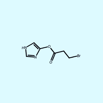 O=C(CCBr)Oc1c[nH]cn1